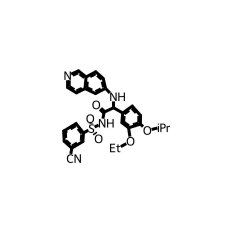 CCOc1cc(C(Nc2ccc3cnccc3c2)C(=O)NS(=O)(=O)c2cccc(C#N)c2)ccc1OC(C)C